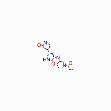 C=CC(=O)N1CCCC(N(C)c2cc(-c3ccnc(OC)c3)c[nH]c2=O)C1